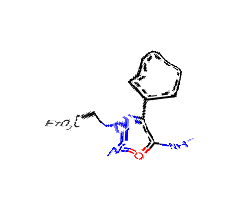 CCOC(=O)C[n+]1noc([NH-])c1-c1ccccc1